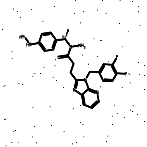 CCCNc1ccc([C@H](C)N(N)C(=O)CCc2nc3cccnc3n2Cc2ccc(F)c(F)c2)cc1